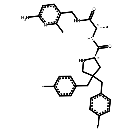 Cc1nc(N)ccc1CNC(=O)[C@H](C)NC(=O)[C@H]1CC(Cc2ccc(F)cc2)(Cc2ccc(F)cc2)CN1